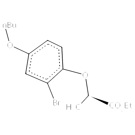 CCCCOc1ccc(O[C@H](C)C(=O)OCC)c(Br)c1